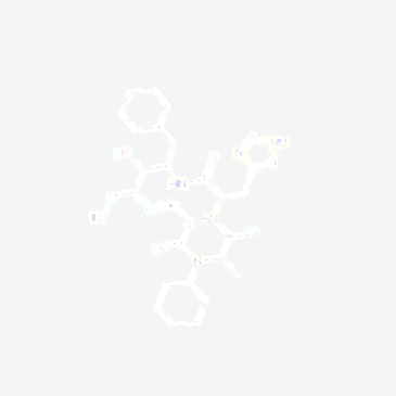 CC(C)OC(=O)[C@H](O)[C@H](CC1CCCCC1)NC(=O)[C@H](Cc1c[nH]cn1)NC(=O)[C@H](C)N(C(=O)OC(C)(C)C)C1CCCCC1